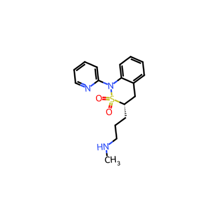 CNCCC[C@H]1Cc2ccccc2N(c2ccccn2)S1(=O)=O